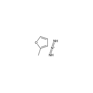 Cc1ccco1.N=[N+]=N